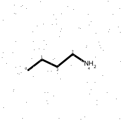 C[CH]C[CH]N